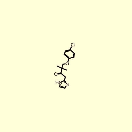 CC(C)(COc1ccc(Cl)cc1)C(=O)Cc1ncc[nH]1